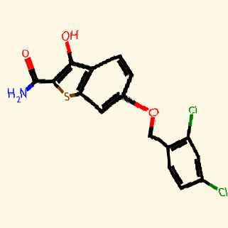 NC(=O)c1sc2cc(OCc3ccc(Cl)cc3Cl)ccc2c1O